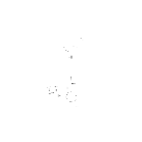 CCCN1CCN(C(=O)NCC2CCC(C(=O)N3Cc4cnn(C)c4Nc4cc(Cl)ccc43)CC2)CC1